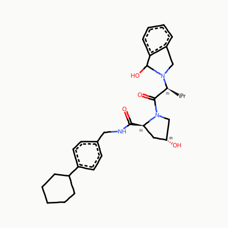 CC(C)[C@@H](C(=O)N1C[C@H](O)C[C@H]1C(=O)NCc1ccc(C2CCCCC2)cc1)N1Cc2ccccc2C1O